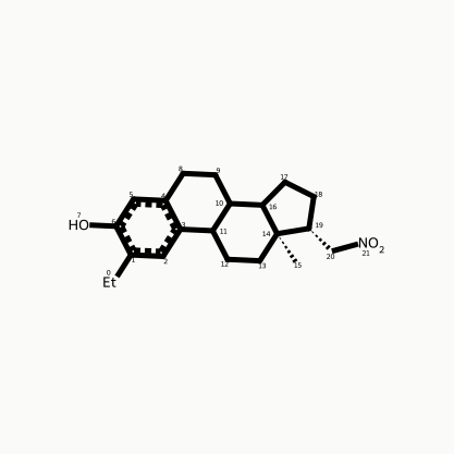 CCc1cc2c(cc1O)CCC1C2CC[C@@]2(C)C1CC[C@@H]2C[N+](=O)[O-]